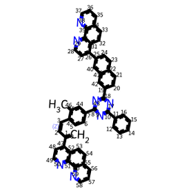 C=C(/C=C\c1ccc(-c2nc(-c3ccccc3)nc(-c3ccc4ccc(-c5ccnc6c5ccc5cccnc56)cc4c3)n2)cc1C)c1ccnc2c1ccc1cccnc12